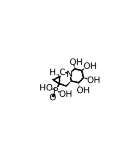 CN1[C@H](O)[C@@H](O)[C@@H](O)[C@H](O)[C@H]1CC1(P(=O)(O)O)CC1